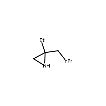 CCCCC1(CC)CN1